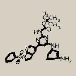 CC(C)(C)OC(=O)Nc1nc(Nc2cccc(N)c2)cc(-c2cnc3c(ccn3S(=O)(=O)c3ccccc3)c2)n1